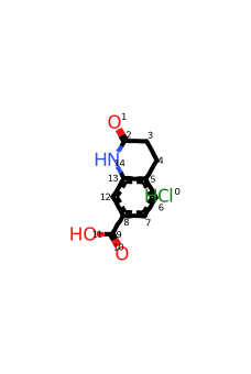 Cl.O=C1CCc2ccc(C(=O)O)cc2N1